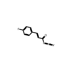 [N-]=[N+]=NC(=O)/C=C/c1ccc(F)cc1